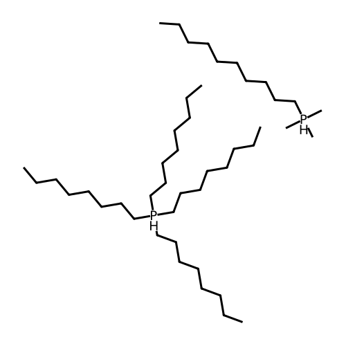 CCCCCCCCCC[PH](C)(C)C.CCCCCCCC[PH](CCCCCCCC)(CCCCCCCC)CCCCCCCC